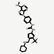 CNc1ncnc2c1ncn2-c1ccc(NC(=O)Nc2ccc(CNC3CCCCC3)c(C(F)(F)F)c2)cc1